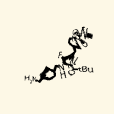 CN(C)S(=O)(=O)N1CCC(c2nn(C(=O)C(C)(C)C)c(NCc3ccc(CN)cc3)c2F)C1